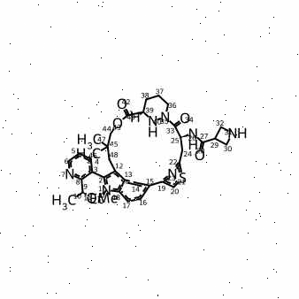 CCn1c(-c2cccnc2[C@H](C)OC)c2c3cc(ccc31)-c1csc(n1)C[C@H](NC(=O)C1CNC1)C(=O)N1CCC[C@H](N1)C(=O)OCC(C)(C)C2